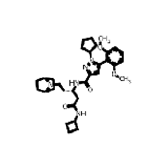 COc1cccc(OC)c1-c1cc(C(=O)N[C@@H](CCN2C3CCC2CC3)CC(=O)NC2CCC2)nn1C1CCCC1